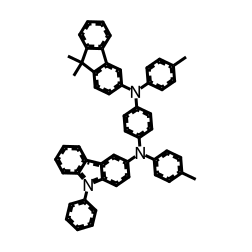 Cc1ccc(N(c2ccc(N(c3ccc(C)cc3)c3ccc4c(c3)c3ccccc3n4-c3ccccc3)cc2)c2ccc3c(c2)-c2ccccc2C3(C)C)cc1